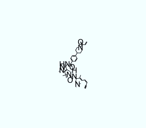 C#C/C=C\C=C(/C)[C@@H](CN(C)C)NC(=O)N1Cc2c(NC(=O)c3ccc(C4CCN(C(=O)C=C)CC4)cc3)nn(C)c2C1(C)C